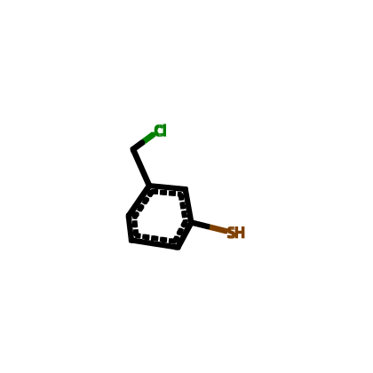 Sc1cccc(CCl)c1